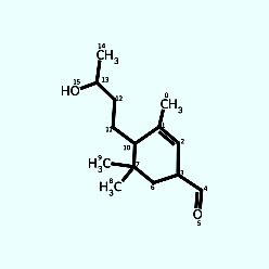 CC1=CC(C=O)CC(C)(C)C1CCC(C)O